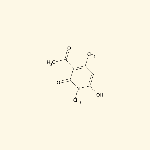 CC(=O)c1c(C)cc(O)n(C)c1=O